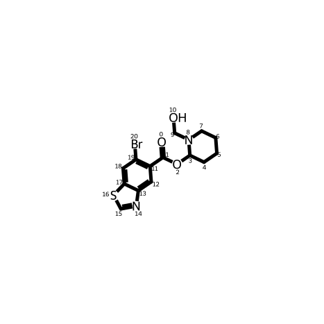 O=C(OC1CCCCN1CO)c1cc2ncsc2cc1Br